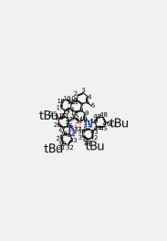 Cc1cccc(C)c1-c1cc2c3c(c1-c1c(C)cccc1C)-c1cc(C(C)(C)C)cc4c5cc(C(C)(C)C)ccc5n(c14)B3c1cc(C(C)(C)C)cc3c4cc(C(C)(C)C)ccc4n-2c13